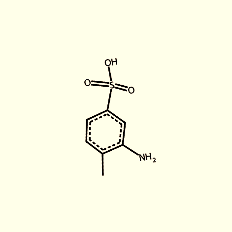 Cc1ccc(S(=O)(=O)O)cc1N